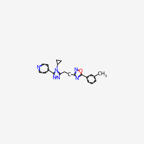 Cc1cccc(-c2nc(CCc3nnc(-c4ccncc4)n3C3CC3)no2)c1